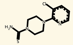 NC(=S)N1CCN(c2ncccc2Cl)CC1